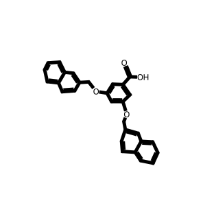 O=C(O)c1cc(OCc2ccc3ccccc3c2)cc(OCc2ccc3ccccc3c2)c1